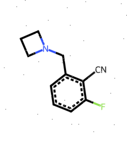 N#Cc1c(F)cccc1CN1CCC1